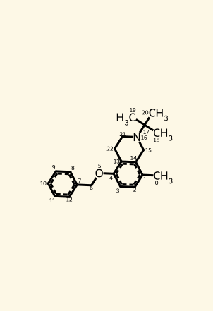 Cc1ccc(OCc2ccccc2)c2c1CN(C(C)(C)C)CC2